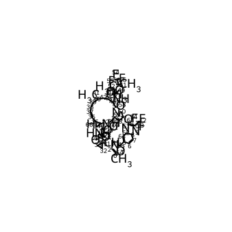 Cc1cnc(-c2ccc3nc(C(F)(F)F)c(O[C@@H]4C[C@H]5C(=O)N[C@]6(C(=O)NS(=O)(=O)C7(C)CC7)C[C@H]6/C=C\CC[C@@H](C)C[C@@H](C)[C@H](NC(=O)OC(C)(C)C(F)(F)F)C(=O)N5C4)nc3c2)o1